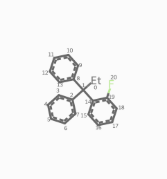 CCC(c1ccccc1)(c1ccccc1)c1ccccc1F